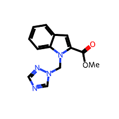 COC(=O)c1cc2ccccc2n1Cn1cncn1